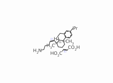 CC(C)c1ccc2c(c1)CC[C@H]1[C@](C)(/C=C\CCCN)CCC[C@]21C.O=C(O)/C=C/C(=O)O